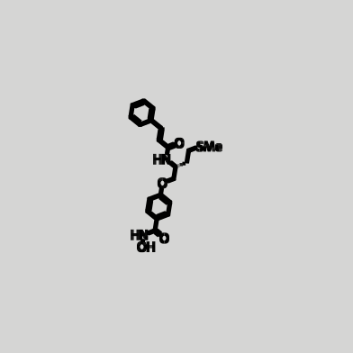 CSCC[C@H](COc1ccc(C(=O)NO)cc1)NC(=O)/C=C/c1ccccc1